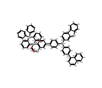 c1ccc([Si]2(c3ccccc3)c3ccccc3[Si]3(c4ccccc4Oc4cc(-c5ccc(N(c6ccc(-c7cccc8ccccc78)cc6)c6ccc7c(c6)oc6ccccc67)cc5)ccc43)c3ccccc32)cc1